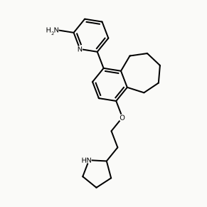 Nc1cccc(-c2ccc(OCCC3CCCN3)c3c2CCCCC3)n1